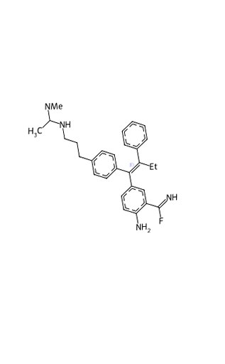 CC/C(=C(/c1ccc(CCCNC(C)NC)cc1)c1ccc(N)c(C(=N)F)c1)c1ccccc1